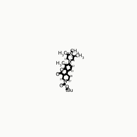 Cc1c(N2CC(C)N(C)C(C)C2)ccc2c3c(c(=O)oc12)CN(C(=O)OC(C)(C)C)CC3